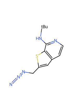 CC(C)(C)Nc1nccc2cc(CN=[N+]=[N-])sc12